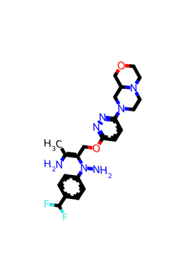 C/C(N)=C(\COc1ccc(N2CCN3CCOCC3C2)nn1)N(N)c1ccc(C(F)F)cc1